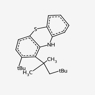 CC(C)(C)CC(C)(C)c1c(C(C)(C)C)ccc2c1Nc1ccccc1S2